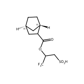 O=C(OC(CS(=O)(=O)O)C(F)(F)F)C1C[C@H]2CC[C@H]1C2